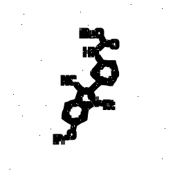 CCn1c(-c2cccc(NC(=O)OCC(C)C)c2)c(C#N)c2ccc(OC(C)C)cc21